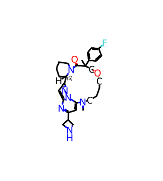 CN1CCCCOCC(C)(c2ccc(F)cc2)C(=O)N2CCCC[C@H]2c2cc3nc(C4CNC4)cc1n3n2